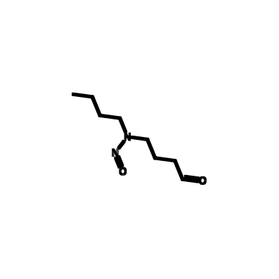 CCCCN(CCCC=O)N=O